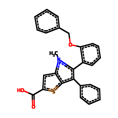 Cn1c(-c2ccccc2OCc2ccccc2)c(-c2ccccc2)c2sc(C(=O)O)cc21